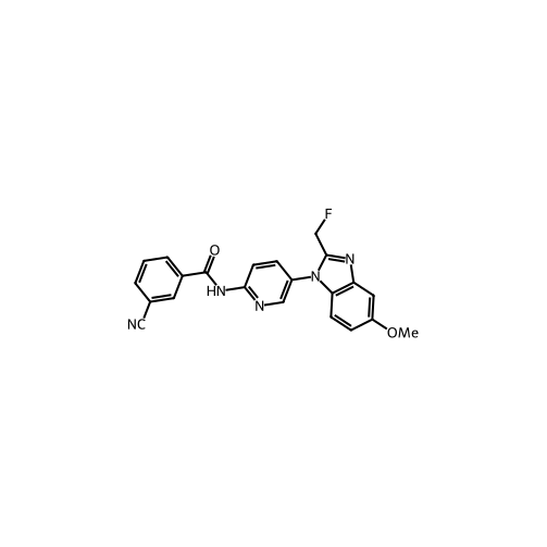 COc1ccc2c(c1)nc(CF)n2-c1ccc(NC(=O)c2cccc(C#N)c2)nc1